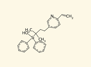 C=Cc1ccc(CCC(C)(C)[Si](O)(c2ccccc2)c2ccccc2)cn1